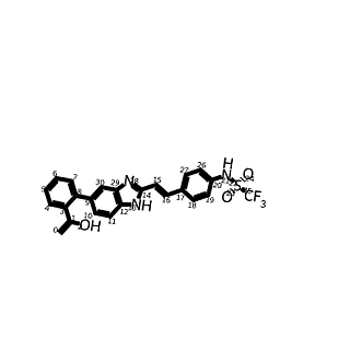 C=C(O)c1ccccc1-c1ccc2[nH]c(/C=C/c3ccc(NS(=O)(=O)C(F)(F)F)cc3)nc2c1